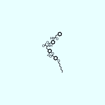 CCCCCCCOc1ccc(C(=O)Oc2ccc(CC(NC(=O)c3cccc(NC(=O)Cc4ccccc4)c3)C(C)=O)cc2OC)cc1